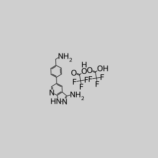 NCc1ccc(-c2cnc3[nH]nc(N)c3c2)cc1.O=C(O)C(F)(F)F.O=C(O)C(F)(F)F